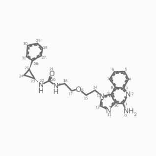 Nc1nc2ccccc2c2c1ncn2CCOCCNC(=O)N[C@@H]1C[C@H]1c1ccccc1